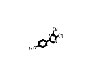 N#Cc1ncc(-c2ccc(O)cc2)nc1C#N